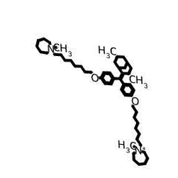 CC1CC2CC(C)C(=C(c3ccc(OCCCCCCCC[N+]4(C)CCCCCC4)cc3)c3ccc(OCCCCCCCC[N+]4(C)CCCCCC4)cc3)C(C1)C2